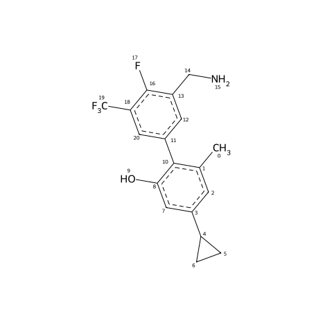 Cc1cc(C2CC2)cc(O)c1-c1cc(CN)c(F)c(C(F)(F)F)c1